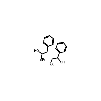 CCC(C)CC(O)c1ccccc1.CCCC(O)Cc1ccccc1